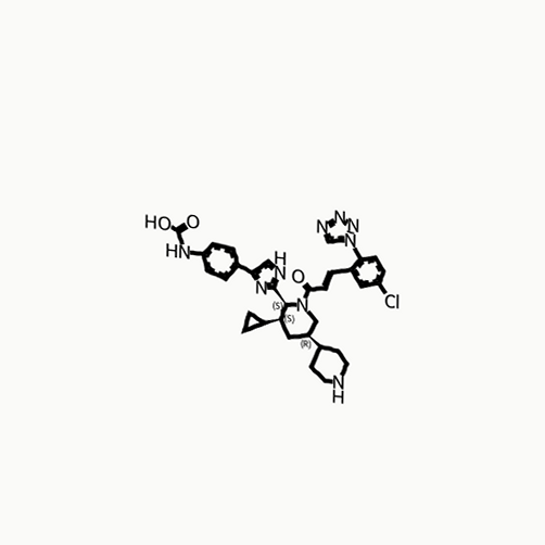 O=C(O)Nc1ccc(-c2c[nH]c([C@@H]3[C@H](C4CC4)C[C@H](C4CCNCC4)CN3C(=O)C=Cc3cc(Cl)ccc3-n3cnnn3)n2)cc1